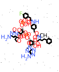 CN(C(=O)OCc1ccc(NC(=O)Cc2ccc(F)cc2)cc1)C(CCc1ccccc1)C(=O)O[C@H]1[C@@H](O)[C@H](n2cnc3c(N)ncnc32)O[C@@H]1COP(=O)(O)O[C@@H]1[C@@H](COP(=O)(O)O)OC(n2ccc(N)nc2=O)[C@@H]1OC1CCCO1